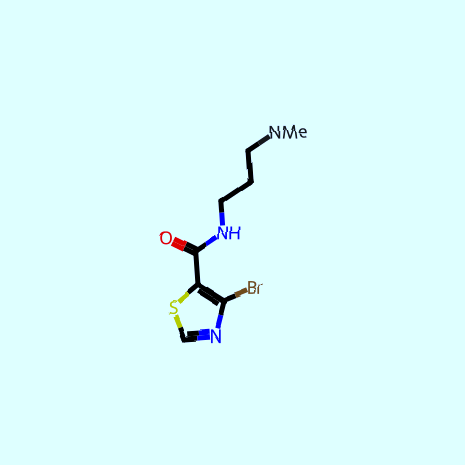 CNCCCNC(=O)c1scnc1Br